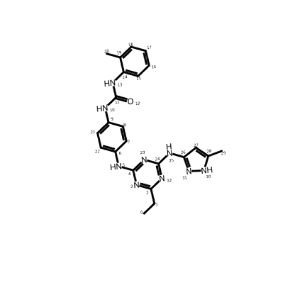 CCc1nc(Nc2ccc(NC(=O)Nc3ccccc3C)cc2)nc(Nc2cc(C)[nH]n2)n1